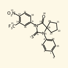 Cc1ccc(N2C(=S)N(c3ccc([N+](=O)[O-])c(C(F)(F)F)c3)C(=O)C23CCCC3)cc1